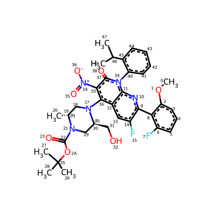 COc1cccc(F)c1-c1nc2c(cc1F)c(N1C[C@@H](C)N(C(=O)OC(C)(C)C)C[C@@H]1CO)c([N+](=O)[O-])c(=O)n2-c1ccccc1C(C)C